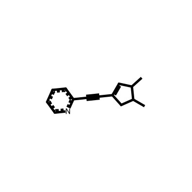 CC1C=C(C#Cc2ccccn2)CC1C